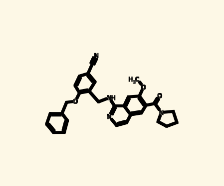 COc1cc2c(NCc3cc(C#N)ccc3OCc3ccccc3)nccc2cc1C(=O)N1CCCC1